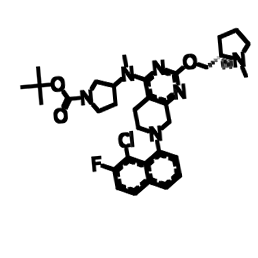 CN(c1nc(OC[C@@H]2CCCN2C)nc2c1CCN(c1cccc3ccc(F)c(Cl)c13)C2)C1CCN(C(=O)OC(C)(C)C)C1